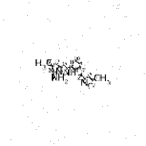 Cc1ccnc(CCc2cccc(C(N)Cc3cc(C)cc(N)n3)c2)c1